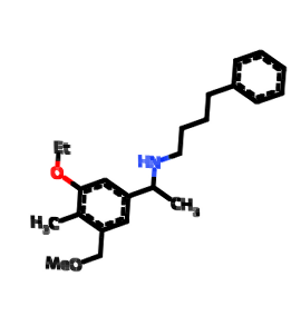 CCOc1cc(C(C)NCCCCc2ccccc2)cc(COC)c1C